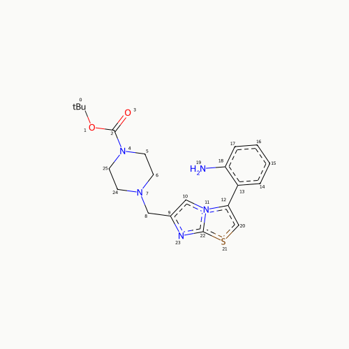 CC(C)(C)OC(=O)N1CCN(Cc2cn3c(-c4ccccc4N)csc3n2)CC1